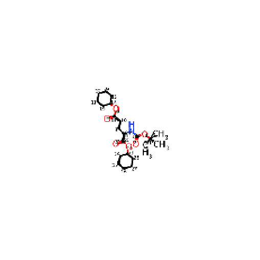 CC(C)(C)OC(=O)N[C@H](CCC(=O)OC1CCCCC1)C(=O)OC1CCCCC1